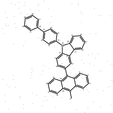 Cc1c2ccccc2c(-c2ccc3c(c2)c2ccccc2n3-c2ccc(-c3ccccc3)cc2)c2ccccc12